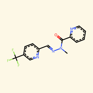 CN(N=Cc1ccc(C(F)(F)F)cn1)C(=O)c1ccccn1